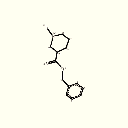 O=C(OCc1ccccc1)C1CCCN(I)C1